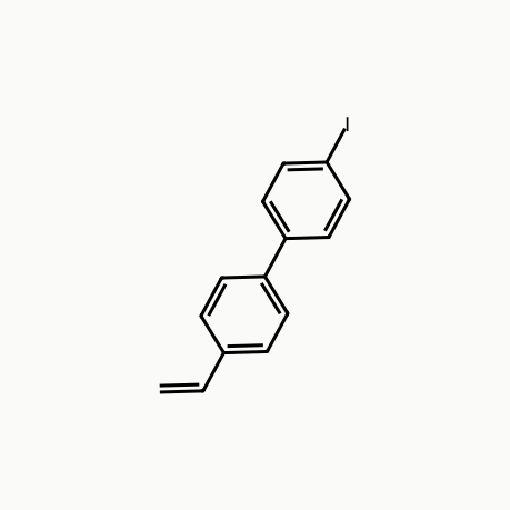 C=Cc1ccc(-c2ccc(I)cc2)cc1